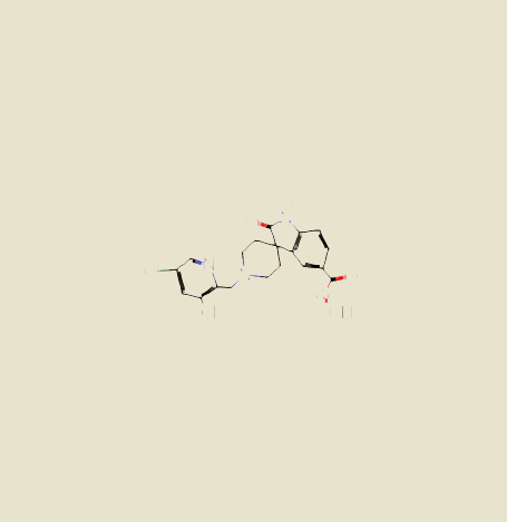 COC(=O)c1ccc2c(c1)C1(CCN(Cc3ncc(Cl)cc3Cl)CC1)C(=O)N2